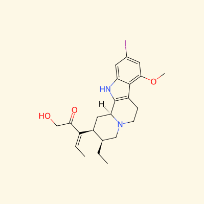 C/C=C(/C(=O)CO)[C@H]1C[C@H]2c3[nH]c4cc(I)cc(OC)c4c3CCN2C[C@H]1CC